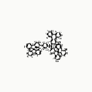 c1ccc2c(c1)-c1ccccc1C21c2ccccc2-c2ccc(-c3ccc(N(c4ccc5c(c4)C4(c6ccccc6-c6ccccc64)c4ccccc4-5)c4ccc5c6ccccc6c6ccccc6c5c4)cc3)cc21